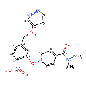 CN(C)C(=O)c1ccc(Oc2cc(COc3ccnnc3)ccc2[N+](=O)[O-])cc1